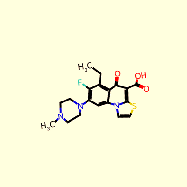 CCc1c(F)c(N2CCN(C)CC2)cc2c1c(=O)c(C(=O)O)c1sccn12